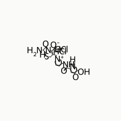 Cl.Cl.N[C@@H]1C(=O)N2C(C(=O)[O-])=C(C[n+]3cccc(NC(=O)c4cc(=O)c(O)c[nH]4)c3)CS[C@@H]12